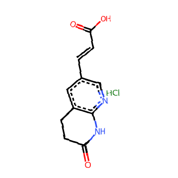 Cl.O=C(O)C=Cc1cnc2c(c1)CCC(=O)N2